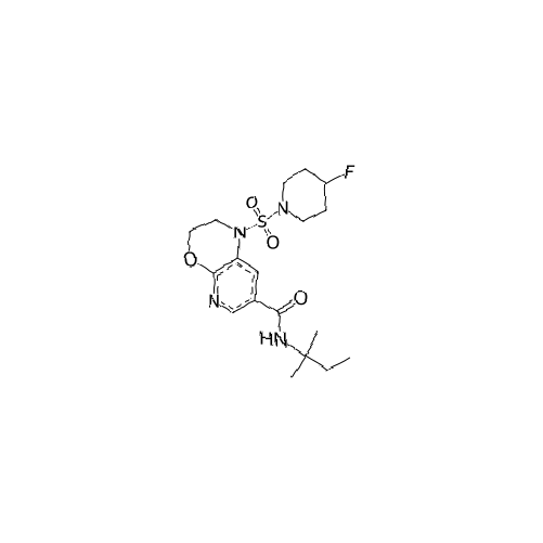 CCC(C)(C)NC(=O)c1cnc2c(c1)N(S(=O)(=O)N1CCC(F)CC1)CCO2